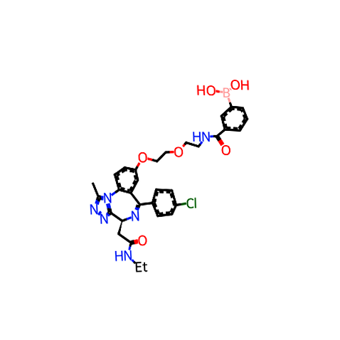 CCNC(=O)C[C@@H]1N=C(c2ccc(Cl)cc2)c2cc(OCCOCCNC(=O)c3cccc(B(O)O)c3)ccc2-n2c(C)nnc21